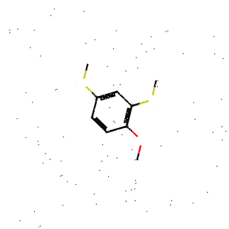 COc1ccc(SC)cc1SC